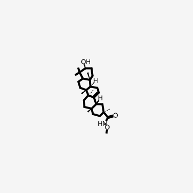 CONC(=O)[C@@]1(C)CC[C@]2(C)CC[C@]3(C)C(=CC[C@@H]4[C@@]5(C)CC[C@H](O)C(C)(C)C5CC[C@]43C)[C@@H]2C1